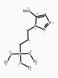 CCO[Si](CCCn1nncc1SC)(OCC)OCC